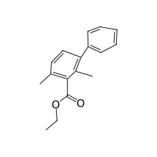 CCOC(=O)c1c(C)ccc(-c2ccccc2)c1C